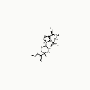 CCOC(=O)C1(C)CCC(n2ncc(C(=O)O)c2C(F)(F)F)CC1